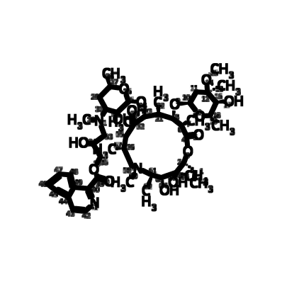 CC[C@H]1OC(=O)[C@H](C)[C@@H](O[C@H]2C[C@@](C)(OC)[C@@H](O)[C@H](C)O2)[C@H](C)[C@@H](O[C@@H]2O[C@H](C)CC(N(C)CC(O)COC(=O)c3nccc4ccccc34)[C@H]2O)[C@](C)(O)C[C@@H](C)CN(C)[C@H](C)[C@@H](O)[C@]1(C)O